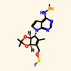 CPNc1ncnc2c1ccn2[C@@H]1C(C)=C(COSI)[C@H]2OC(C)(C)O[C@H]21